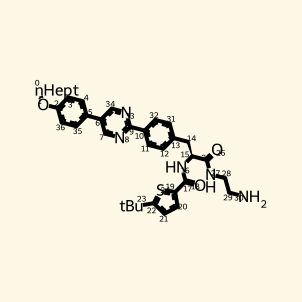 CCCCCCCOc1ccc(-c2cnc(-c3ccc(C[C@H](NC(=O)c4ccc(C(C)(C)C)s4)C(=O)NCCN)cc3)nc2)cc1